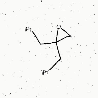 CC(C)CC1(CC(C)C)CO1